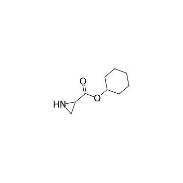 O=C(OC1CCCCC1)C1CN1